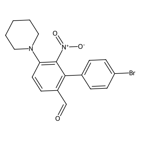 O=Cc1ccc(N2CCCCC2)c([N+](=O)[O-])c1-c1ccc(Br)cc1